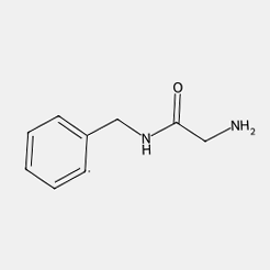 NCC(=O)NCc1[c]cccc1